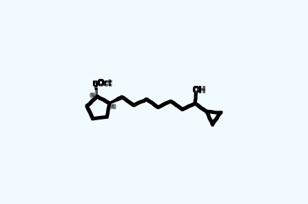 CCCCCCCC[C@H]1CCC[C@@H]1CCCCCCC(O)C1CC1